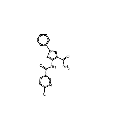 NC(=O)c1cc(-c2ccccc2)sc1NC(=O)c1ccc(Cl)nc1